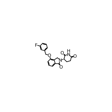 O=C1CC[C@@H](N2Cc3c(OCc4cccc(F)c4)cccc3C2=O)C(=O)N1